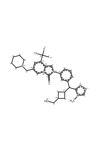 Cn1cnnc1C(c1cccc(-n2cc3c(C(F)(F)F)cc(CN4CCCCC4)cn3c2=O)c1)C1CC(CO)C1